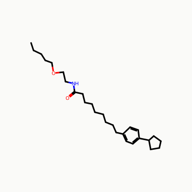 CCCCCOCCNC(=O)CCCCCCCCc1ccc(C2CCCC2)cc1